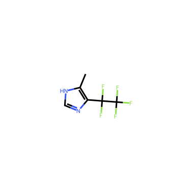 Cc1[nH]cnc1C(F)(F)C(F)(F)F